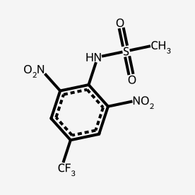 CS(=O)(=O)Nc1c([N+](=O)[O-])cc(C(F)(F)F)cc1[N+](=O)[O-]